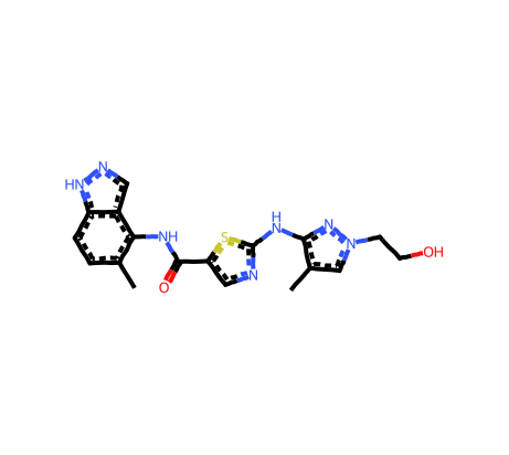 Cc1cn(CCO)nc1Nc1ncc(C(=O)Nc2c(C)ccc3[nH]ncc23)s1